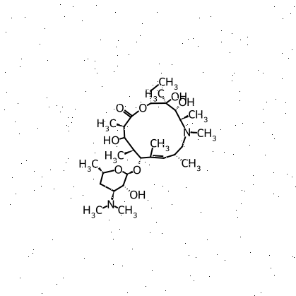 CC[C@H]1OC(=O)[C@H](C)C(O)[C@H](C)[C@@H](O[C@@H]2O[C@H](C)C[C@H](N(C)C)[C@H]2O)/C(C)=C/[C@@H](C)CN(C)[C@H](C)[C@@H](O)[C@]1(C)O